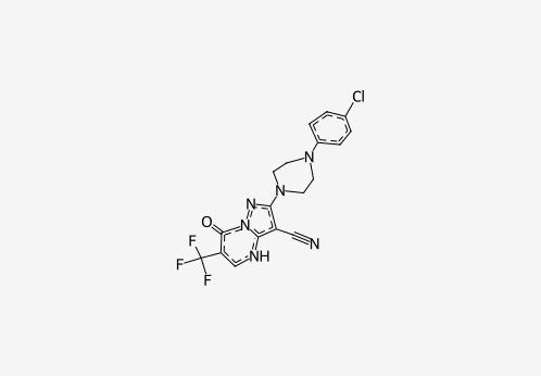 N#Cc1c(N2CCN(c3ccc(Cl)cc3)CC2)nn2c(=O)c(C(F)(F)F)c[nH]c12